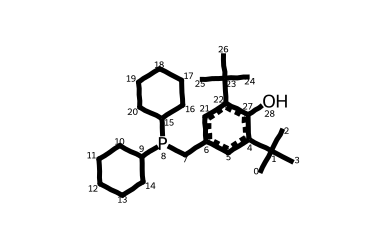 CC(C)(C)c1cc(CP(C2CCCCC2)C2CCCCC2)cc(C(C)(C)C)c1O